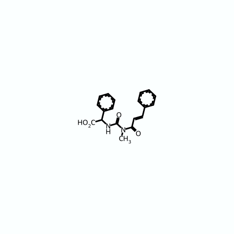 CN(C(=O)C=Cc1ccccc1)C(=O)NC(C(=O)O)c1ccccc1